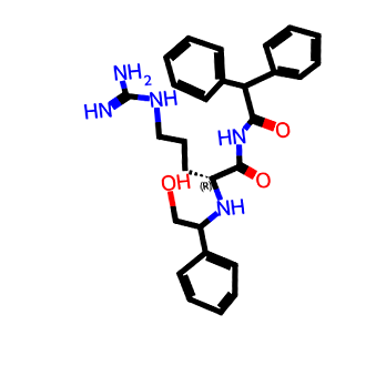 N=C(N)NCCC[C@@H](NC(CO)c1ccccc1)C(=O)NC(=O)C(c1ccccc1)c1ccccc1